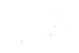 CCc1nc2ccc(I)cn2c1C(O)NCc1ccc(NCCNC(=O)OC(C)(C)C)cc1F